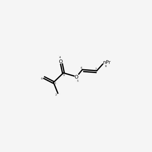 C=C(C)C(=O)OC=CCCC